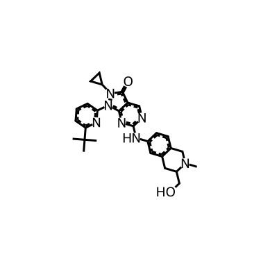 CN1Cc2ccc(Nc3ncc4c(=O)n(C5CC5)n(-c5cccc(C(C)(C)C)n5)c4n3)cc2CC1CO